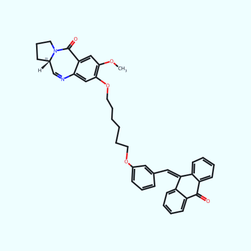 COc1cc2c(cc1OCCCCCCOc1cccc(C=C3c4ccccc4C(=O)c4ccccc43)c1)N=C[C@@H]1CCCN1C2=O